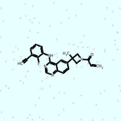 C#Cc1cccc(Nc2ncnc3ccc(C4(C)CN(C(=O)C=C)C4)cc23)c1F